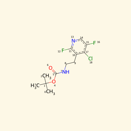 CC(C)(C)OC(=O)NCCc1c(F)ncc(F)c1Cl